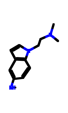 CN(C)CCn1ccc2cc([NH])ccc21